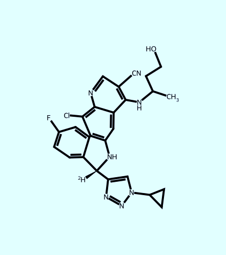 [2H][C@](Nc1cc(Cl)c2ncc(C#N)c(NC(C)CCO)c2c1)(c1ccc(F)cc1)c1cn(C2CC2)nn1